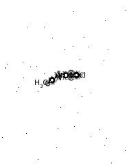 COc1ccc(-c2csc(N3CCC(S(=O)(=O)c4ccc(Cl)cc4)CC3)n2)cc1